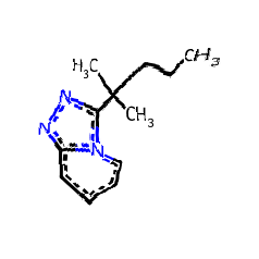 CCCC(C)(C)c1nnc2ccccn12